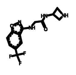 O=C(CNc1noc2ccc(C(F)(F)F)cc12)NC1CNC1